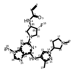 C=CC(=O)N[C@@H]1CN(c2nc(Nc3cn(C4CCN(C)C4)nc3C)c3ncn(C(C)C)c3n2)C[C@H]1F